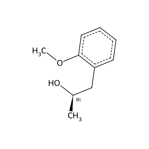 COc1ccccc1C[C@@H](C)O